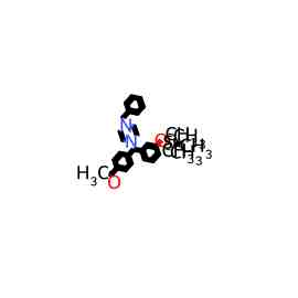 CC(=O)c1ccc(C(c2cccc(O[Si](C)(C)C(C)(C)C)c2)N2CCN(Cc3ccccc3)CC2)cc1